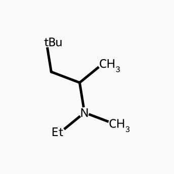 CCN(C)C(C)CC(C)(C)C